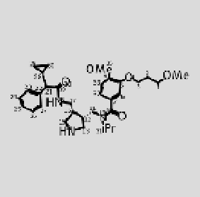 COCCCOc1cc(C(=O)N(C[C@@H]2CNC[C@H]2CNC(=O)C(c2ccccc2)C2CC2)C(C)C)ccc1OC